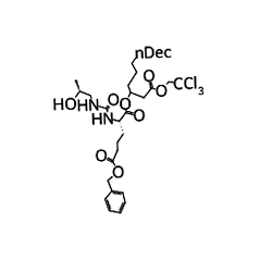 CCCCCCCCCCCCCC(CC(=O)OCC(Cl)(Cl)Cl)OC(=O)[C@H](CCCC(=O)OCc1ccccc1)NC(=O)NC[C@H](C)O